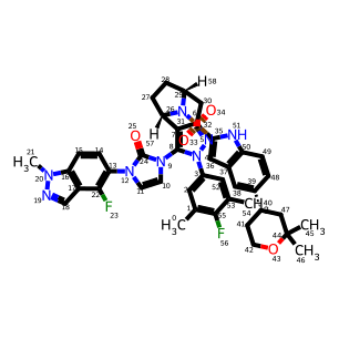 Cc1cc(-n2nc3c(c2-n2ccn(-c4ccc5c(cnn5C)c4F)c2=O)[C@@H]2CC[C@H](C3)N2S(=O)(=O)c2cc3cc([C@H]4CCOC(C)(C)C4)ccc3[nH]2)cc(C)c1F